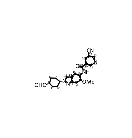 COc1cc2nn([C@H]3CC[C@H](C=O)CC3)cc2cc1NC(=O)c1cncc(C#N)c1